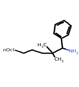 CCCCCCCCCCCC(C)(C)C(N)c1ccccc1